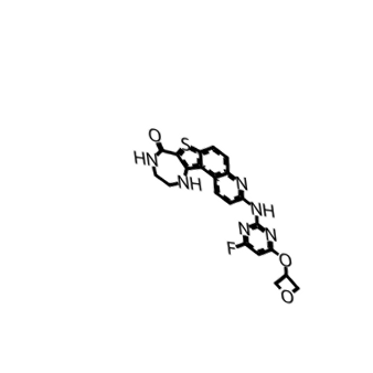 O=C1NCCNc2c1sc1ccc3nc(Nc4nc(F)cc(OC5COC5)n4)ccc3c21